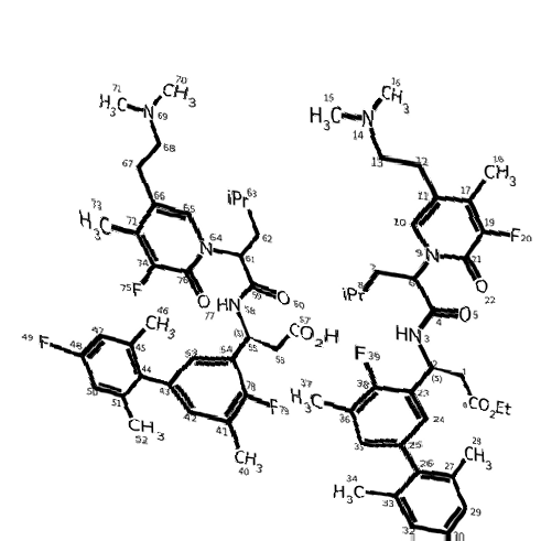 CCOC(=O)C[C@H](NC(=O)C(CC(C)C)n1cc(CCN(C)C)c(C)c(F)c1=O)c1cc(-c2c(C)cc(F)cc2C)cc(C)c1F.Cc1cc(-c2c(C)cc(F)cc2C)cc([C@H](CC(=O)O)NC(=O)C(CC(C)C)n2cc(CCN(C)C)c(C)c(F)c2=O)c1F